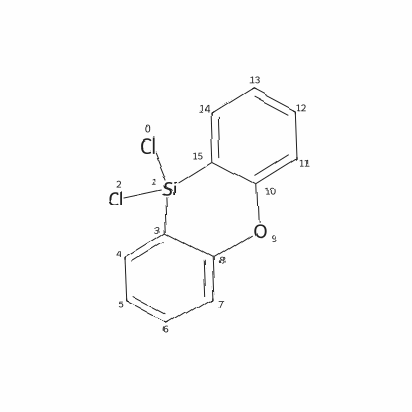 Cl[Si]1(Cl)c2ccccc2Oc2ccccc21